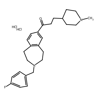 CN1CCC(CCC(=O)c2ccc3c(c2)CCN(Cc2ccc(F)cc2)CC3)CC1.Cl.Cl